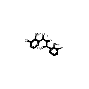 COc1c(Cl)cccc1C(C)C(=O)C(C)c1cccc(Cl)c1OC